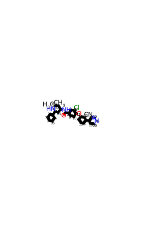 CC1(C)CC(NC(=O)c2ccc(Oc3cccc(-c4ccnnc4)c3C#N)c(Cl)c2)CC(c2ccccc2)N1